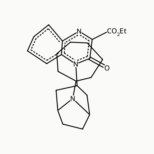 CCOC(=O)c1nc2ccccc2n(C2CC3CCC(C2)N3C2CCCCCC2)c1=O